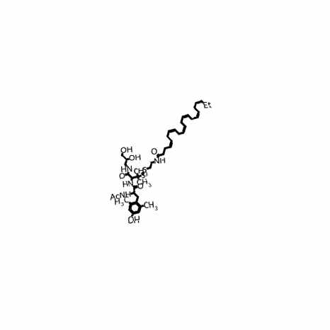 CC/C=C\C/C=C\C/C=C\C/C=C\C/C=C\C/C=C\CCC(=O)NCCSSC(C)(C)C(NC(=O)C(Cc1c(C)cc(O)cc1C)NC(C)=O)C(=O)NCC(O)CO